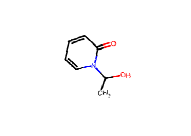 CC(O)n1ccccc1=O